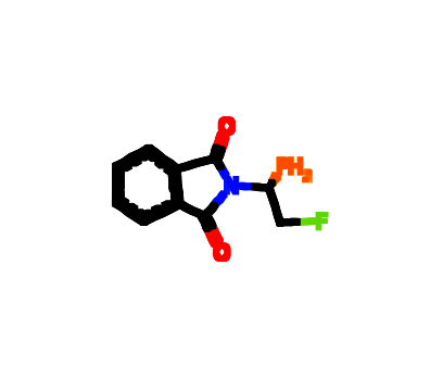 O=C1c2ccccc2C(=O)N1[C@@H](P)CF